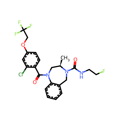 C[C@@H]1CN(C(=O)c2ccc(OCC(F)(F)F)cc2Cl)c2ccccc2CN1C(=O)NCCF